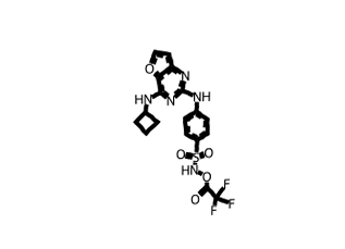 O=C(ONS(=O)(=O)c1ccc(Nc2nc(NC3CCC3)c3occc3n2)cc1)C(F)(F)F